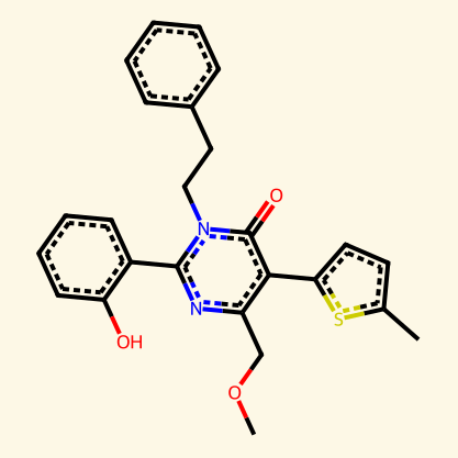 COCc1nc(-c2ccccc2O)n(CCc2ccccc2)c(=O)c1-c1ccc(C)s1